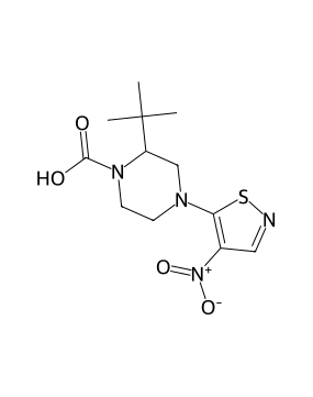 CC(C)(C)C1CN(c2sncc2[N+](=O)[O-])CCN1C(=O)O